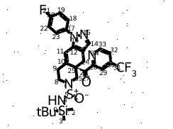 CC(C)(C)[Si](C)(C)N[S+]([O-])N1CCC2=Cc3c(cnn3-c3ccc(F)cc3)C[C@]2(C(=O)c2cc(C(F)(F)F)ccn2)C1